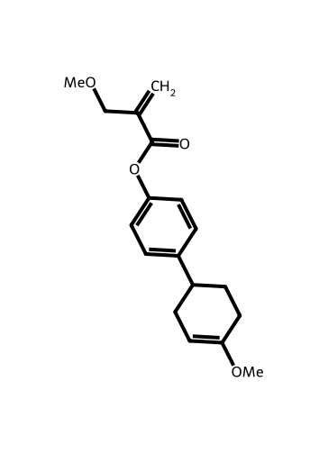 C=C(COC)C(=O)Oc1ccc(C2CC=C(OC)CC2)cc1